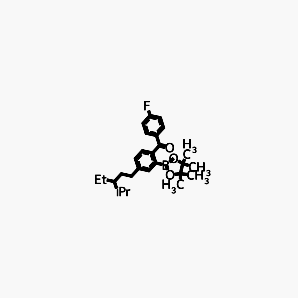 CCC(CCc1ccc(C(=O)c2ccc(F)cc2)c(B2OC(C)(C)C(C)(C)O2)c1)C(C)C